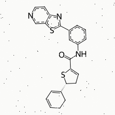 O=C(Nc1cccc(-c2nc3ccncc3s2)c1)C1=CC[C@H](C2=CC=CCC2)S1